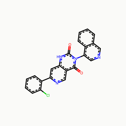 O=c1[nH]c2cc(-c3ccccc3Cl)ncc2c(=O)n1-c1cncc2ccccc12